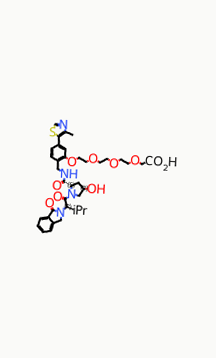 Cc1ncsc1-c1ccc(CNC(=O)[C@@H]2C[C@@H](O)CN2C(=O)[C@@H](C(C)C)N2Cc3ccccc3C2=O)c(OCCOCCOCCOCC(=O)O)c1